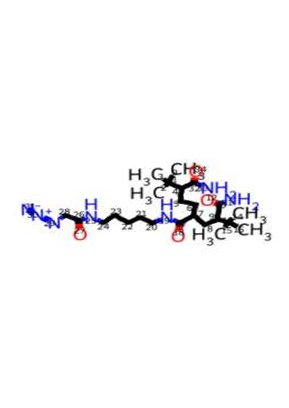 CC(C)(C)C(CCC(CC(C(N)=O)C(C)(C)C)C(=O)NCCCCCNC(=O)CN=[N+]=[N-])C(N)=O